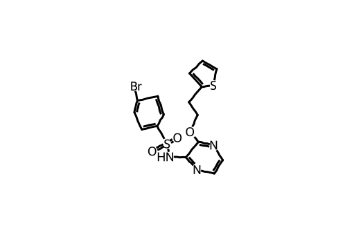 O=S(=O)(Nc1nccnc1OCCc1cccs1)c1ccc(Br)cc1